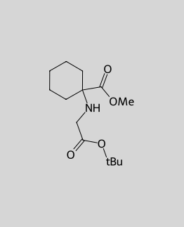 COC(=O)C1(NCC(=O)OC(C)(C)C)CCCCC1